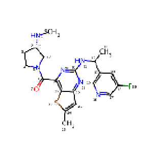 CN[C@H]1CCN(C(=O)c2nc(NC(C)c3cncc(F)c3)nc3cc(C)sc23)C1